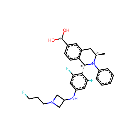 C[C@@H]1Cc2cc(B(O)O)ccc2[C@@H](c2c(F)cc(NC3CN(CCCF)C3)cc2F)N1c1ccccc1